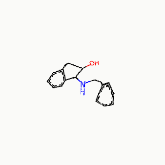 OC1Cc2ccccc2C1NCc1ccccc1